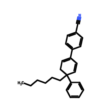 CCCCCCC1(c2ccccc2)C=CC(c2ccc(C#N)cc2)=CC1